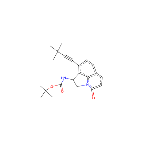 CC(C)(C)OC(=O)NC1Cn2c(=O)ccc3ccc(C#C[Si](C)(C)C)c1c32